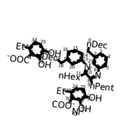 CCCCCCCCCCCc1cccc(N=C(CCCCC)C(CCCCCC)=Nc2cccc(CCCCCCCCCCC)c2)c1.CCc1ccc(O)c(O)c1C(=O)[O-].CCc1ccc(O)c(O)c1C(=O)[O-].[Ni+2]